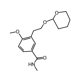 CNC(=O)c1ccc(OC)c(CCOC2CCCCO2)c1